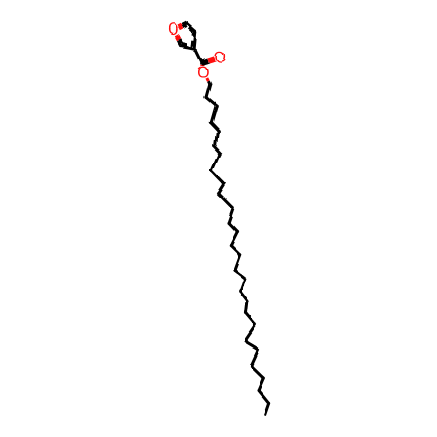 CCCCCCCCCCCCCCCCCCCCCCCCCCCCOC(=O)c1ccoc1